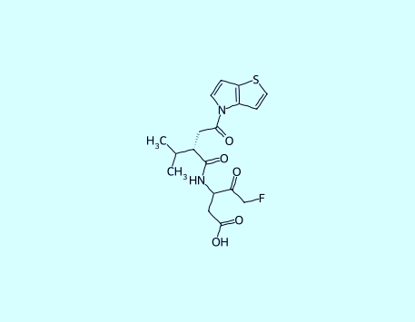 CC(C)[C@H](CC(=O)n1ccc2sccc21)C(=O)NC(CC(=O)O)C(=O)CF